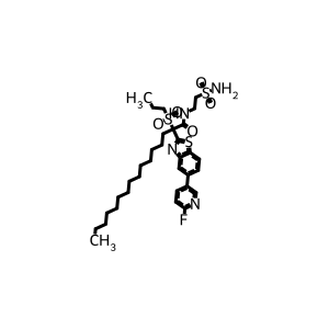 CCCCCCCCCCCCCCC(C(=O)NCCS(N)(=O)=O)(c1nc2cc(-c3ccc(F)nc3)ccc2s1)S(=O)(=O)CCC